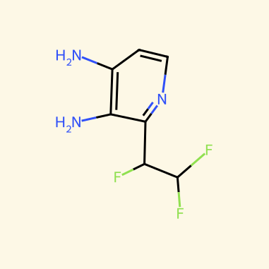 Nc1ccnc(C(F)C(F)F)c1N